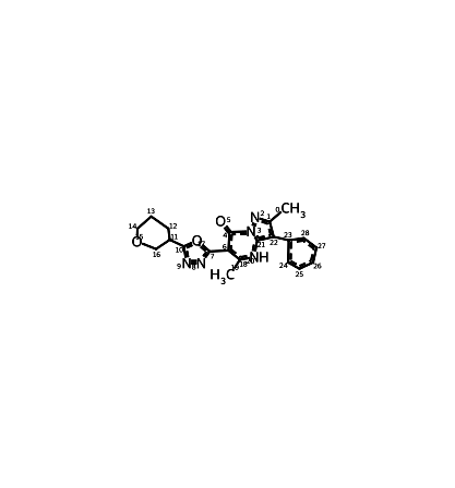 Cc1nn2c(=O)c(-c3nnc(C4CCCOC4)o3)c(C)[nH]c2c1-c1ccccc1